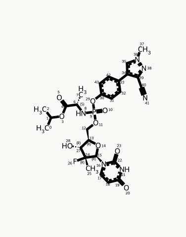 CC(C)OC(=O)[C@H](C)NP(=O)(OC[C@H]1O[C@@H](n2ccc(=O)[nH]c2=O)[C@](C)(F)[C@@H]1O)Oc1ccc(-c2cn(C)nc2C#N)cc1